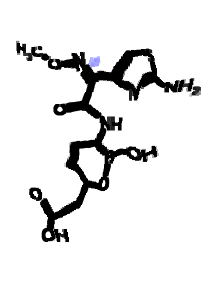 CO/N=C(\C(=O)NC1CCC(CC(=O)O)OB1O)c1csc(N)n1